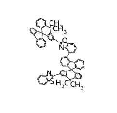 CC1(C)c2ccccc2C2(c3ccccc3-c3ccccc32)c2ccc(-c3nc4c(-c5cccc6c5-c5ccccc5C65c6ccccc6C(C)(C)c6cc(-c7nc8ccccc8s7)ccc65)cccc4o3)cc21